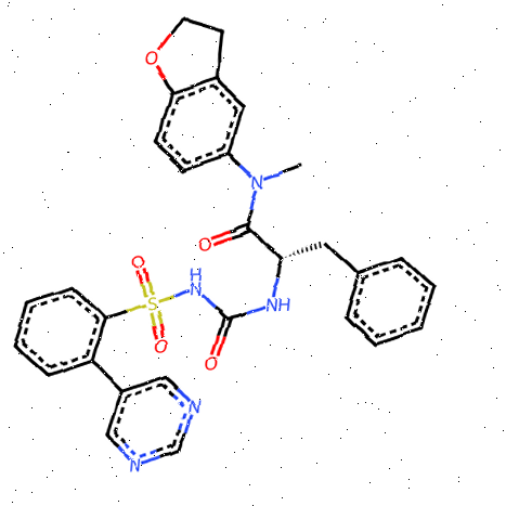 CN(C(=O)[C@H](Cc1ccccc1)NC(=O)NS(=O)(=O)c1ccccc1-c1cncnc1)c1ccc2c(c1)CCO2